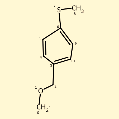 [CH2]OCc1ccc(SC)cc1